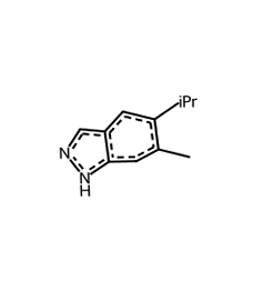 Cc1cc2[nH]ncc2cc1C(C)C